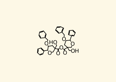 O=C(OC(=O)C1(CO)COC(c2ccccc2)C(OCc2ccccc2)C1)C1(CO)COC(c2ccccc2)C(OCc2ccccc2)C1